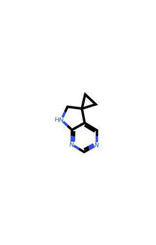 c1ncc2c(n1)NCC21CC1